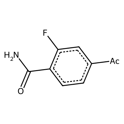 CC(=O)c1ccc(C(N)=O)c(F)c1